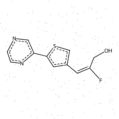 OC/C(F)=C\c1csc(-c2cnccn2)c1